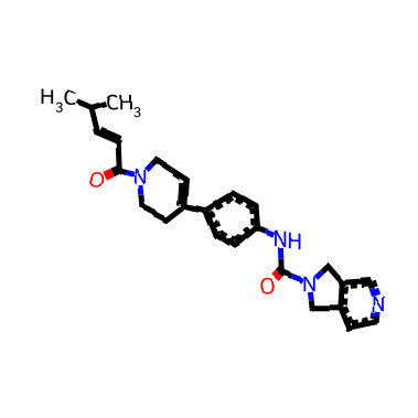 CC(C)C=CC(=O)N1CC=C(c2ccc(NC(=O)N3Cc4ccncc4C3)cc2)CC1